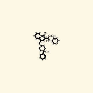 N#CC1(c2ccccc2)CCN(Cc2cc(C(=O)N[C@H]3COCC[C@@H]3O)c(=O)n3ccccc23)CC1